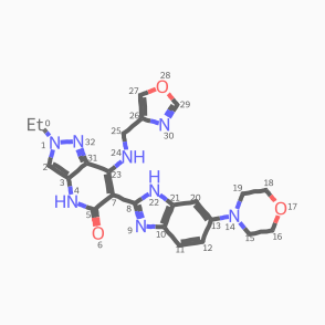 CCn1cc2[nH]c(=O)c(-c3nc4ccc(N5CCOCC5)cc4[nH]3)c(NCc3cocn3)c2n1